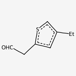 CCc1csc(CC=O)c1